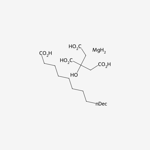 CCCCCCCCCCCCCCCCCC(=O)O.O=C(O)CC(O)(CC(=O)O)C(=O)O.[MgH2]